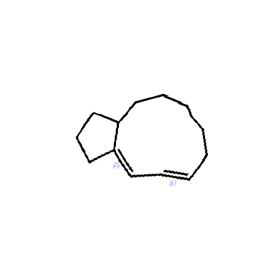 C1=C2/CCCC2CCCCC/C=C/1